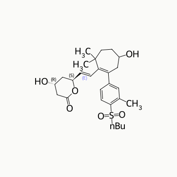 CCCCS(=O)(=O)c1ccc(C2=C(/C=C/[C@@H]3C[C@@H](O)CC(=O)O3)C(C)(C)CCC(O)C2)cc1C